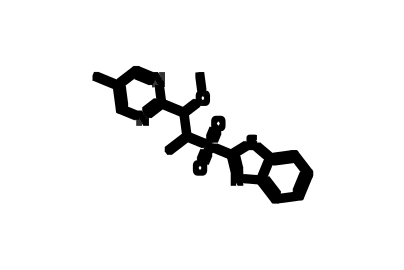 COC(c1ncc(C)cn1)C(C)S(=O)(=O)c1nc2ccccc2s1